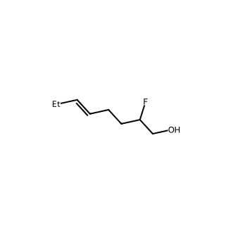 CCC=CCCC(F)CO